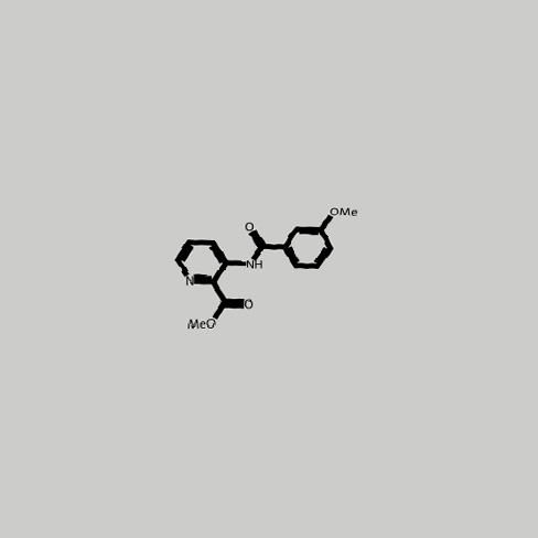 COC(=O)c1ncccc1NC(=O)c1cccc(OC)c1